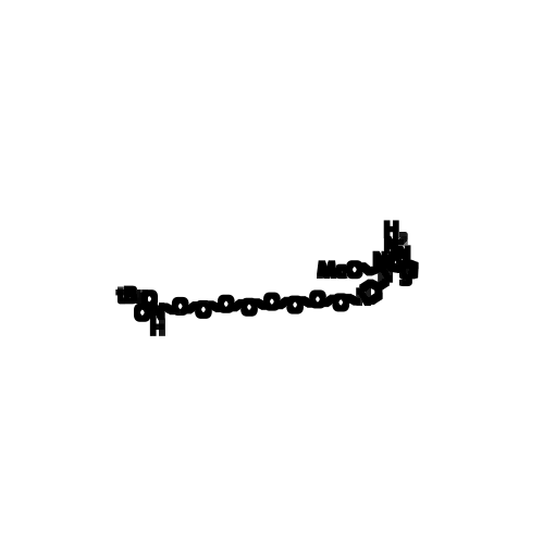 COCCc1nc2c(N)nc3ccsc3c2n1CC1CCN(CCOCCOCCOCCOCCOCCOCCOCCOCCNC(=O)OC(C)(C)C)CC1